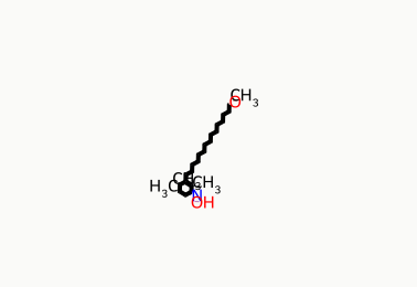 COCCCCCCCCCCCCCCCC1=C(C)C(=NO)CCC1(C)C